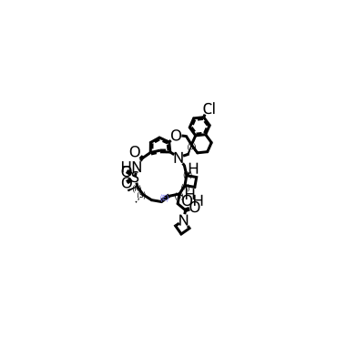 C[C@@H]1[C@@H](C)C/C=C/[C@](O)(CC(=O)N2CCC2)[C@@H]2CC[C@H]2CN2C[C@@]3(CCCc4cc(Cl)ccc43)COc3ccc(cc32)C(=O)NS1(=O)=O